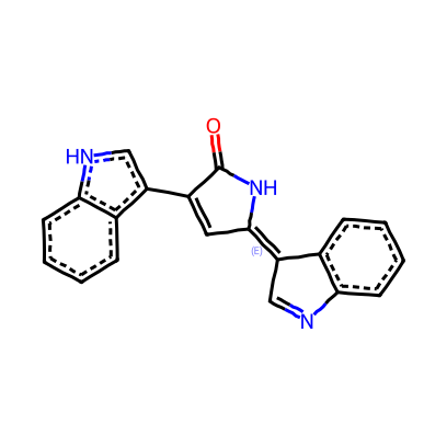 O=C1N/C(=C2/C=Nc3ccccc32)C=C1c1c[nH]c2ccccc12